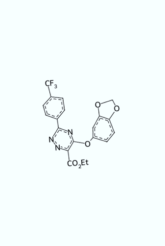 CCOC(=O)c1nnc(-c2ccc(C(F)(F)F)cc2)nc1Oc1ccc2c(c1)OCO2